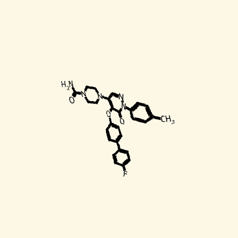 Cc1ccc(-n2ncc(N3CCN(C(N)=O)CC3)c(Oc3ccc(-c4ccc(F)cc4)cc3)c2=O)cc1